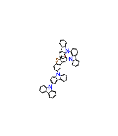 c1ccc2c(c1)c1ccccc1n2-c1ccc2c(c1)c1ccccc1n2-c1ccc2sc3ccc(-n4c5ccccc5c5cccc(-n6c7ccccc7c7ccccc76)c54)cc3c2c1